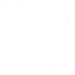 CCCCCCCCCCCCC(CCCCCCC)Oc1cccc(O)c1O